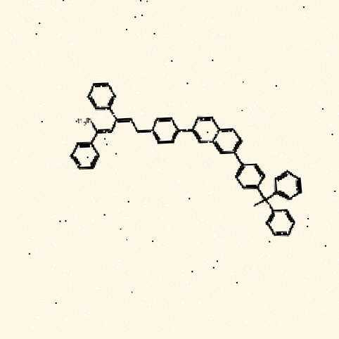 CC(c1ccccc1)(c1ccccc1)c1ccc(-c2ccc3ccc(-c4ccc(C/C=C(\C=C(/N)c5ccccc5)c5ccccc5)cc4)cc3c2)cc1